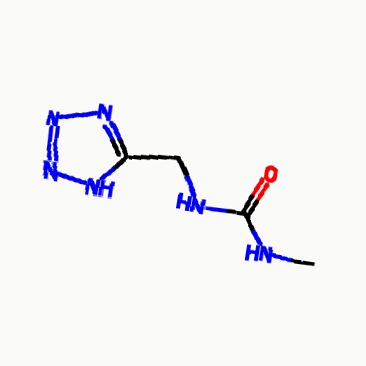 CNC(=O)NCc1nnn[nH]1